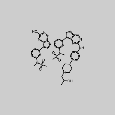 CC(O)CN1CCC(c2ccc(Nc3ncc4ccc(-c5cccc(N(C)S(C)(=O)=O)c5)n4n3)cc2)CC1.CN(c1cccc(-c2ccc3cnc(O)nn23)c1)S(C)(=O)=O